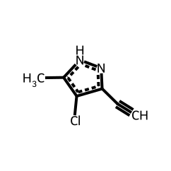 C#Cc1n[nH]c(C)c1Cl